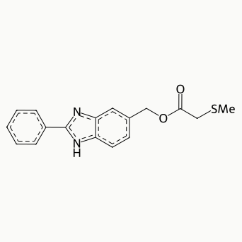 CSCC(=O)OCc1ccc2[nH]c(-c3ccccc3)nc2c1